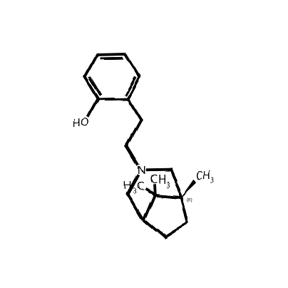 CC1(C)C2CC[C@@]1(C)CN(CCc1ccccc1O)C2